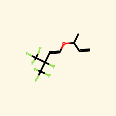 C=CC(C)O/C=C/C(F)(C(F)(F)F)C(F)(F)F